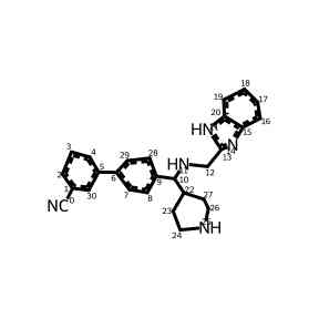 N#Cc1cccc(-c2ccc(C(NCc3nc4ccccc4[nH]3)C3CCNCC3)cc2)c1